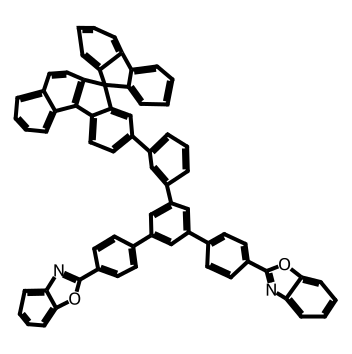 c1cc(-c2cc(-c3ccc(-c4nc5ccccc5o4)cc3)cc(-c3ccc(-c4nc5ccccc5o4)cc3)c2)cc(-c2ccc3c(c2)C2(c4ccccc4-c4ccccc42)c2ccc4ccccc4c2-3)c1